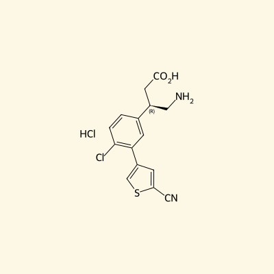 Cl.N#Cc1cc(-c2cc([C@H](CN)CC(=O)O)ccc2Cl)cs1